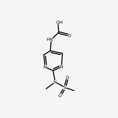 CN(c1ncc(NC(=O)O)cn1)S(C)(=O)=O